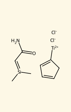 C[Si](C)=CC(N)=O.[Cl-].[Cl-].[Ti+2][C]1=CC=CC1